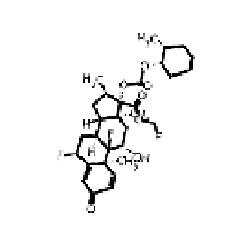 C[C@@H]1CCCC[C@@H]1OC(=O)O[C@@]1(C(=O)OCF)[C@H](C)C[C@H]2[C@@H]3C[C@H](F)C4=CC(=O)C=C[C@]4(C)C3(F)[C@@H](O)C[C@@]21C